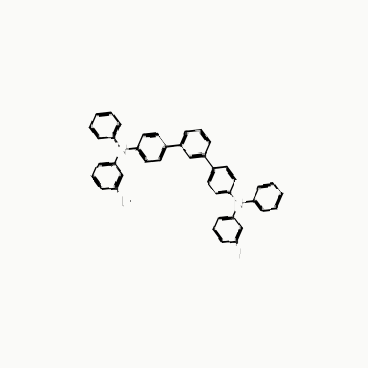 [3H]c1cccc(N(c2ccccc2)c2ccc(-c3cccc(-c4ccc(N(c5ccccc5)c5cccc([3H])c5)cc4)c3)cc2)c1